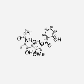 CCCC(=O)N[C@@H](C)[C@@H](O)[C@H](O)[C@@H](COC(=O)c1ccccc1O)OC